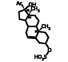 CC(=O)[C@@]1(O)CCC2C3CC=C4CC(OS(=O)(=O)O)CC[C@]4(C)C3CC[C@@]21C